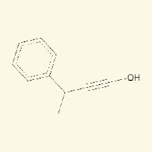 CC(C#CO)c1ccccc1